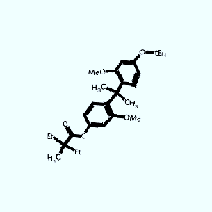 CCC(C)(CC)C(=O)Oc1ccc(C(C)(C)c2ccc(OC(C)(C)C)cc2OC)c(OC)c1